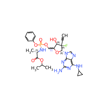 C#C[C@@]1(F)[C@H](O)/C(=C\OP(=O)(N[C@@H](C)C(=O)OC(C)C)Oc2ccccc2)O[C@H]1n1cnc2c(NC3CC3)nc(N)nc21